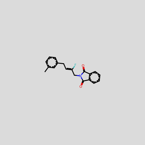 Cc1cccc(CC=C(F)CN2C(=O)c3ccccc3C2=O)c1